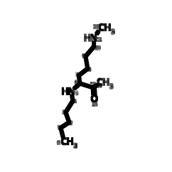 CCCCCNC(CCCCNC)C(C)=O